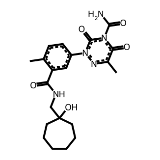 Cc1ccc(-n2nc(C)c(=O)n(C(N)=O)c2=O)cc1C(=O)NCC1(O)CCCCCC1